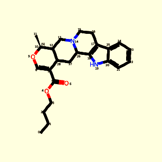 CCCCOC(=O)C1=CO[C@@H](C)C2CN3CCc4c([nH]c5ccccc45)C3CC12